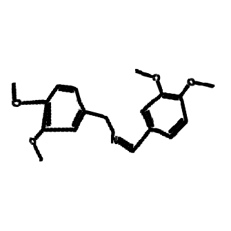 COc1ccc(/C=N\Cc2ccc(OC)c(OC)c2)cc1OC